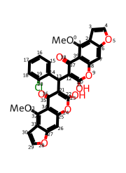 COc1c2ccoc2cc2oc(O)c(C(c3ccccc3Cl)c3c(O)oc4cc5occc5c(OC)c4c3=O)c(=O)c12